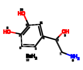 NCC(O)c1ccc(O)c(O)c1.[BaH2]